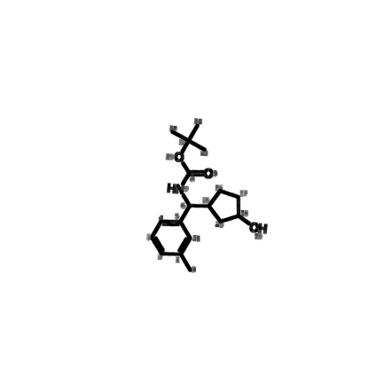 Cc1cccc(C(NC(=O)OC(C)(C)C)C2CCC(O)C2)c1